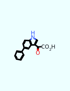 O=C(O)C(=O)c1c[nH]c2ccc(-c3ccccc3)cc12